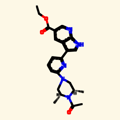 CCOC(=O)c1cnc2[nH]cc(-c3cccc(N4C[C@@H](C)N(C(C)=O)[C@@H](C)C4)n3)c2c1